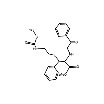 COC(=O)C(NCC(=O)c1ccccc1)C(SCCNC(=O)OC(C)(C)C)c1ccccc1